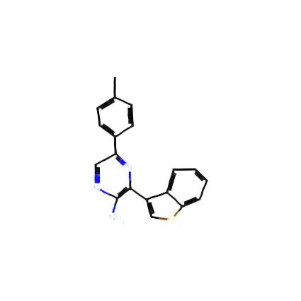 Cc1ccc(-c2cnc(N)c(-c3csc4ccccc34)n2)cc1